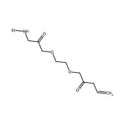 C=CCC(=O)COCCOCC(=O)CNCC